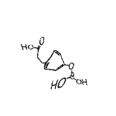 O=C(O)Cc1ccc(OB(O)O)cc1